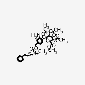 CCN(CSCCc1ccccc1)C(=O)OCc1ccc(O[C@@H]2OC(C(=O)OC)C(OC(C)=O)[C@H](OC(C)=O)C2OC(C)=O)c(N)c1